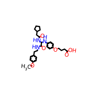 COc1ccc(CCNC(=O)C(NC(=O)CC2CCCC2)Nc2ccc(OCCCC(=O)O)cc2)cc1